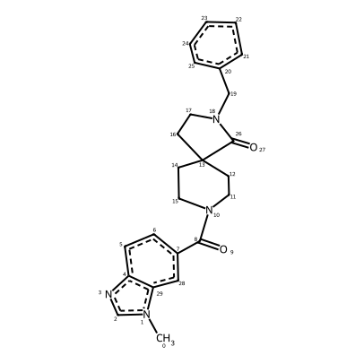 Cn1cnc2ccc(C(=O)N3CCC4(CC3)CCN(Cc3ccccc3)C4=O)cc21